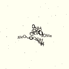 COCCc1ccc(OCC(O)CNC(C)C)cc1.COc1ccc(C(=O)Nc2ccccc2CCC2CCCCN2C)cc1